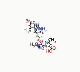 Cc1cc(C(=O)O)cc(-c2cnn(C)c2OCCC[C@H](Cn2c(N)nc3cc(Br)cc(C)c32)C2CC2)n1